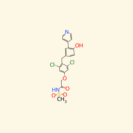 CS(=O)(=O)NC(=O)COc1cc(Cl)c(Cc2ccc(O)c(-c3ccncc3)c2)c(Cl)c1